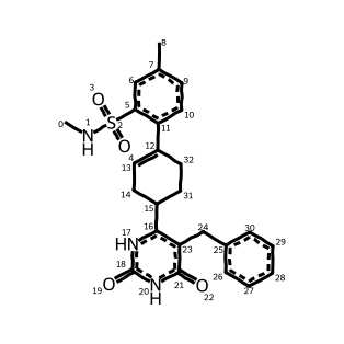 CNS(=O)(=O)c1cc(C)ccc1C1=CCC(c2[nH]c(=O)[nH]c(=O)c2Cc2ccccc2)CC1